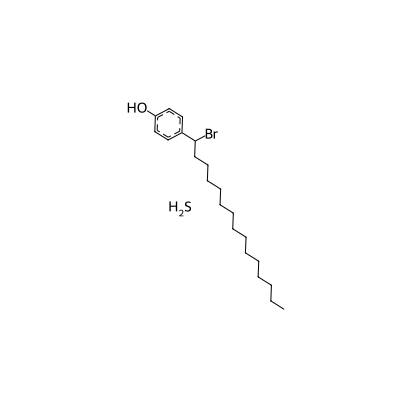 CCCCCCCCCCCCCCC(Br)c1ccc(O)cc1.S